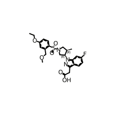 CCOc1ccc(S(=O)(=O)N2C[C@@H](C)[C@@H](n3nc(CC(=O)O)c4ccc(F)cc43)C2)c(COC)c1